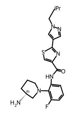 CC(C)Cn1cc(-c2nc(C(=O)Nc3cccc(F)c3N3CCC[C@@H](N)C3)cs2)cn1